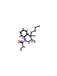 CCCCC1(C)c2ccccc2N(C(=O)CC)CC1C